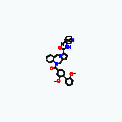 COc1ccccc1-c1ccc(C(=O)N2Cc3ccc(C(=O)N[C@H]4CN5CCC4CC5)n3C=C3C=CCC=C32)cc1OC